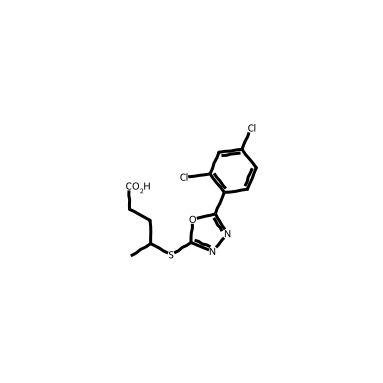 CC(CCC(=O)O)Sc1nnc(-c2ccc(Cl)cc2Cl)o1